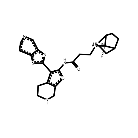 O=C(CCN[C@@H]1C2CCC1NC2)Nc1sc2c(c1-c1nc3cnccc3s1)CCNC2